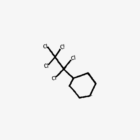 ClC(Cl)(Cl)C(Cl)(Cl)[C]1CC[CH]CC1